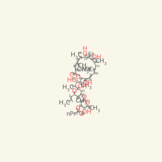 C/C=C/[C@H]1O[C@@](O)([C@@H](C)[C@H](O)[C@H](C)[C@H]2OC(=O)/C(OC)=C/C(C)=C/[C@@H](C)[C@@H](O)C(CC)[C@@H](O)[C@H](C)C/C(C)=C/C=C/[C@@H]2O)C[C@@H](O[C@@H]2C[C@H](OC(=O)CCC)[C@@H](O)[C@H](C)O2)[C@@H]1C